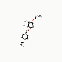 C/C=C/Oc1ccc(OCC2CCC(/C=C/C)CC2)c(F)c1F